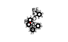 Fc1ccc(OCc2ccccc2C(F)(F)F)c(C[PH](c2ccccc2)(c2ccccc2)c2ccccc2)c1